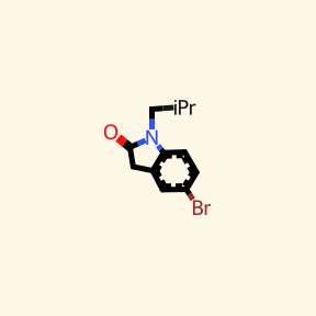 CC(C)CN1C(=O)Cc2cc(Br)ccc21